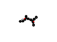 C1=CCCC(c2ccc(N(c3ccc(-c4ccccc4)cc3)c3ccc(-c4ccc(N(c5ccccc5)c5ccc(-c6ccc(-c7ccccc7)s6)cc5)cc4)cc3)cc2)=C1